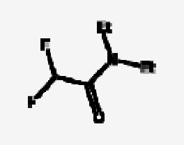 CCN(CC)C(=O)C(F)F